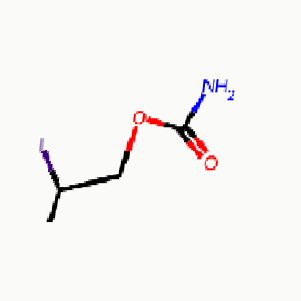 CC(I)COC(N)=O